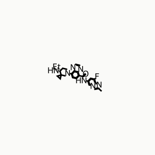 CCN[C@H]1CCN(c2ccc(C(=O)Nc3cc(F)c4nc(C)cn4c3)c3nccnc23)CC12CC2